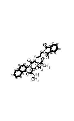 CNC(=O)[C@H](C)N(C(=O)[C@H](CCCN1C(=O)c2ccccc2C1=O)SC(C)=O)c1ccc2ccccc2c1